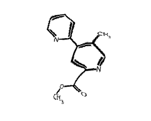 COC(=O)c1cc(-c2ccccn2)c(C)cn1